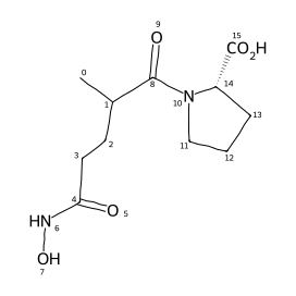 CC(CCC(=O)NO)C(=O)N1CCC[C@H]1C(=O)O